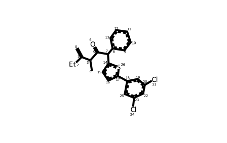 C=C(CC)C(C)C(=O)C(c1ccccc1)c1ccc(-c2cc(Cl)cc(Cl)c2)s1